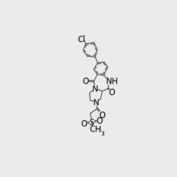 CS(=O)(=O)CC(=O)N1CCN2C(=O)c3cc(-c4ccc(Cl)cc4)ccc3NC(=O)C2C1